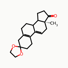 C[C@]12CC=C3C4=C(CCC3C1CCC2=O)CC1(CC4)OCCO1